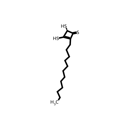 CCCCCCCCCCCCC1=C(S)[C@@H](S)C1=S